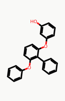 Oc1cccc(Oc2cccc(Oc3ccccc3)c2-c2ccccc2)c1